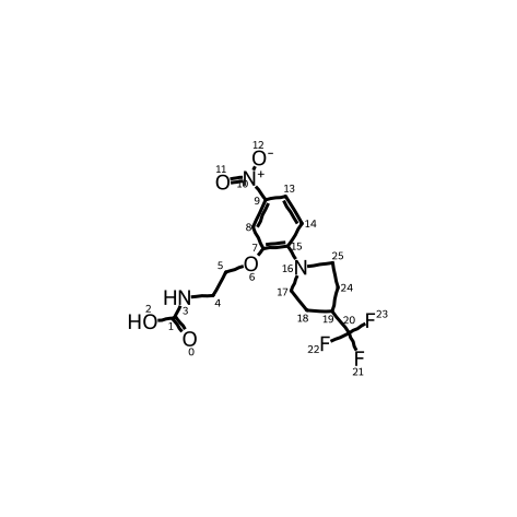 O=C(O)NCCOc1cc([N+](=O)[O-])ccc1N1CCC(C(F)(F)F)CC1